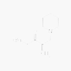 C=C(CN1CCCCC1)C(=O)CC(C)(C)C